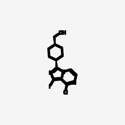 OC[C@H]1CC[C@H](c2nc(I)c3c(Cl)nccn32)CC1